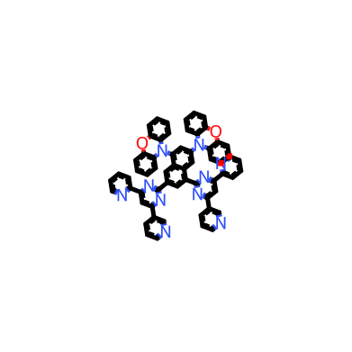 c1ccc(-c2cc(-c3cccnc3)nc(-c3cc(-c4nc(-c5cccnc5)cc(-c5ccccn5)n4)c4cc(N5c6ccccc6Oc6ccccc65)cc(N5c6ccccc6Oc6ccccc65)c4c3)n2)nc1